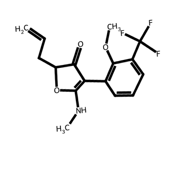 C=CCC1OC(NC)=C(c2cccc(C(F)(F)F)c2OC)C1=O